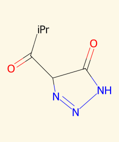 CC(C)C(=O)C1N=NNC1=O